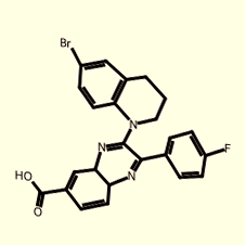 O=C(O)C1=CC2N=C(N3CCCc4cc(Br)ccc43)C(c3ccc(F)cc3)=NC2C=C1